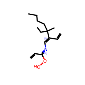 C=C/C(=C\N=C(/C=C)OO)C(C)(CC)CCCC